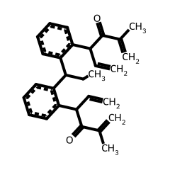 C=CC(C(=O)C(=C)C)c1ccccc1C(CC)c1ccccc1C(C=C)C(=O)C(=C)C